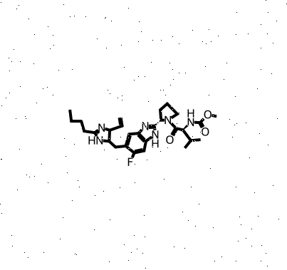 C=CC1N=C(CCCC)NC1Cc1cc2nc([C@@H]3CCCN3C(=O)[C@@H](NC(=O)OC)C(C)C)[nH]c2cc1F